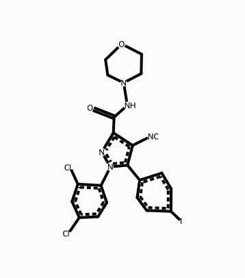 [C-]#[N+]c1c(C(=O)NN2CCOCC2)nn(-c2ccc(Cl)cc2Cl)c1-c1ccc(I)cc1